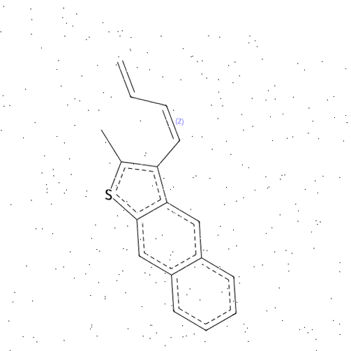 C=C/C=C\c1c(C)sc2cc3ccccc3cc12